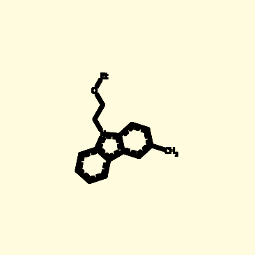 CCOCCn1c2ccccc2c2cc(C)ccc21